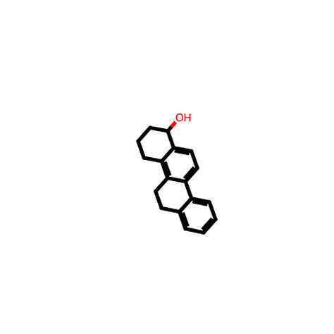 OC1CCCc2c1ccc1c2CCc2ccccc2-1